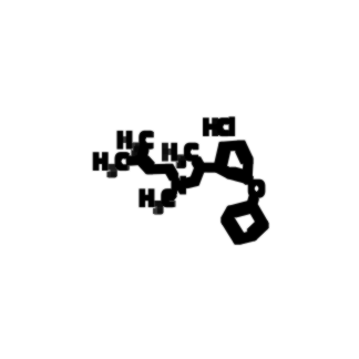 CC(C)=CCN(C)CC(C)c1cccc(Oc2ccccc2)c1.Cl